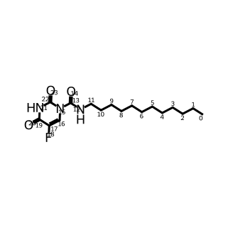 CCCCCCCCCCCCNC(=O)n1cc(F)c(=O)[nH]c1=O